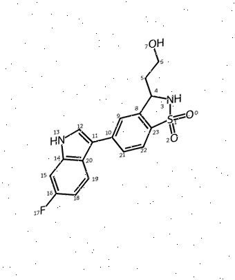 O=S1(=O)NC(CCO)c2cc(-c3c[nH]c4cc(F)ccc34)ccc21